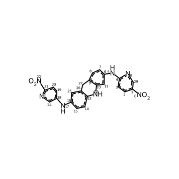 O=[N+]([O-])c1ccc(Nc2ccc3c(c2)Nc2ccc(Nc4ccc([N+](=O)[O-])nc4)cc2C3)nc1